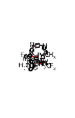 CCOc1cc(N2CCC(C(=O)N3CCC(Cc4ccc(CN(C)Cc5ccc(-n6c(C(=O)NCC(F)(F)F)nnc6-c6cc(C(C)C)c(O)cc6O)cc5)cn4)CC3)CC2)ccc1Nc1ncc2c(n1)N(C)c1ccccc1C(=O)N2C